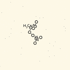 Cc1cc(-c2cccc(-c3ccc(-c4cc(-c5ccccc5)nc(-c5ccccc5)n4)cc3)c2)c2ccc3ccc(-c4ccccc4)nc3c2n1